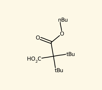 CCCCOC(=O)C(C(=O)O)(C(C)(C)C)C(C)(C)C